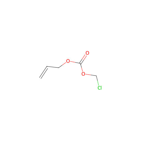 C=CCOC(=O)OCCl